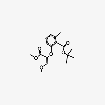 COC=C(Oc1cccc(C)c1C(=O)OC(C)(C)C)C(=O)OC